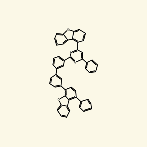 c1ccc(-c2cc(-c3cccc4oc5ccccc5c34)nc(-c3cccc(-c4cccc(-c5ccc(-c6ccccc6)c6c5oc5ccccc56)c4)c3)n2)cc1